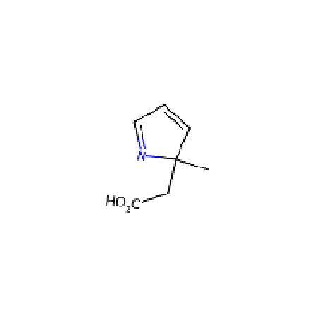 CC1(CC(=O)O)C=CC=N1